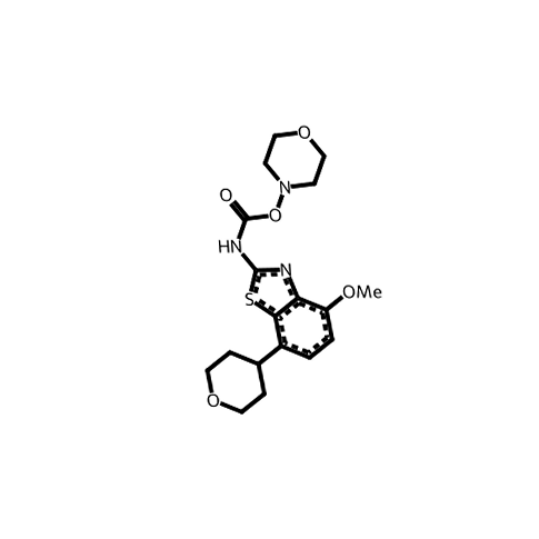 COc1ccc(C2CCOCC2)c2sc(NC(=O)ON3CCOCC3)nc12